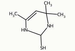 CC1=CC(C)(C)NC(S)N1